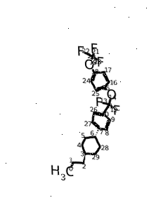 CCC[C@H]1CC[C@H](c2ccc(C(F)(F)Oc3ccc(OC(F)(F)F)cc3)cc2)CC1